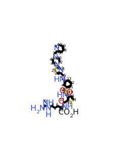 N=C(N)NCCC[C@H](NC(=O)c1sccc1NS(=O)(=O)c1cccc(NCc2csc(N3CCN(Cc4ccccn4)CC3)n2)c1)C(=O)O